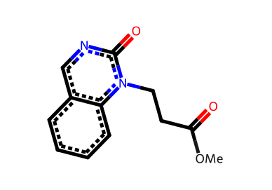 COC(=O)CCn1c(=O)ncc2ccccc21